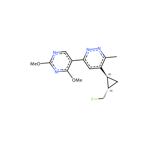 COc1ncc(-c2cc([C@H]3C[C@@H]3CF)c(C)nn2)c(OC)n1